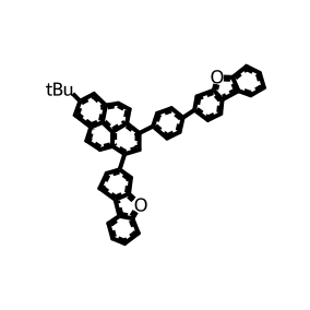 CC(C)(C)c1cc2ccc3c(-c4ccc(-c5ccc6c(c5)oc5ccccc56)cc4)cc(-c4ccc5c(c4)oc4ccccc45)c4ccc(c1)c2c34